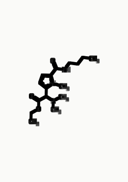 CCCCNC(=O)c1ccc(C(C(=O)OCC)N(C)C)n1C